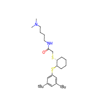 CN(C)CCCCNC(=O)CS[C@@H]1CCCC[C@H]1Sc1cc(C(C)(C)C)cc(C(C)(C)C)c1